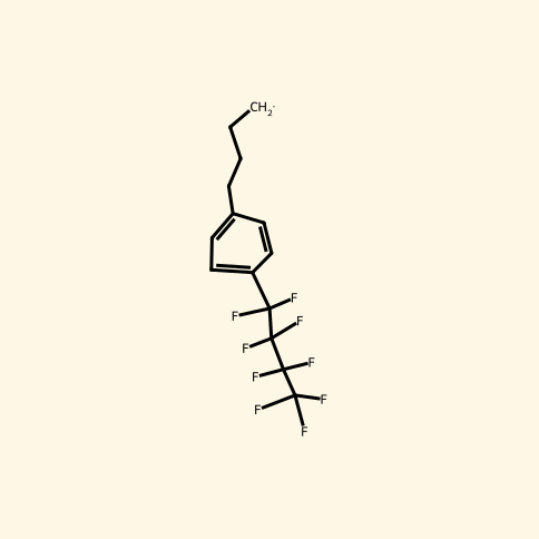 [CH2]CCCc1ccc(C(F)(F)C(F)(F)C(F)(F)C(F)(F)F)cc1